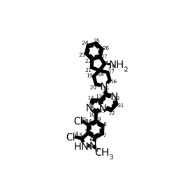 CN1NC(Cl)c2c1ccc(-c1ncc3c(N4CCC5(CC4)Cc4ccccc4[C@H]5N)nccn13)c2Cl